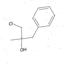 CC(O)(CCl)Cc1ccccc1